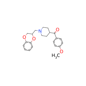 COc1ccc(C(=O)C2CCN(CC3COc4ccccc4O3)CC2)cc1